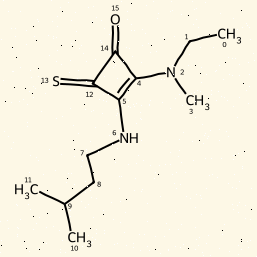 CCN(C)c1c(NCCC(C)C)c(=S)c1=O